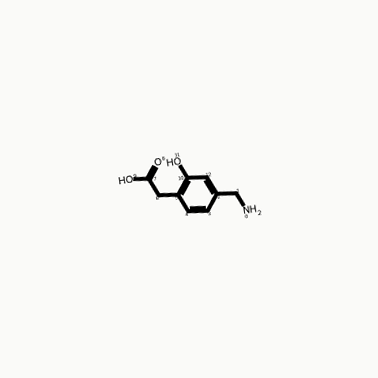 NCc1ccc(CC(=O)O)c(O)c1